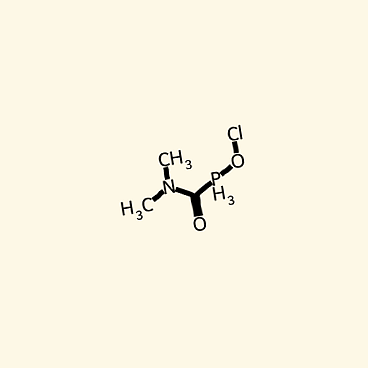 CN(C)C(=O)[PH3]OCl